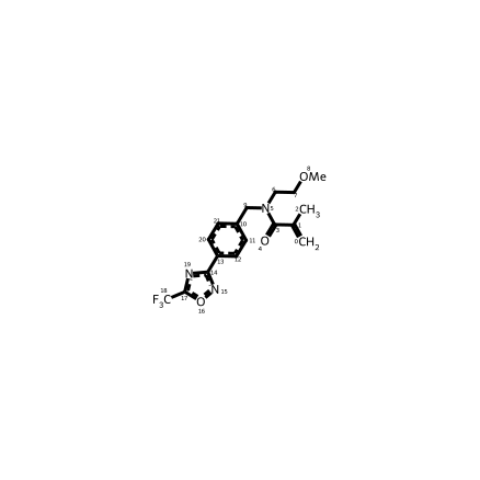 C=C(C)C(=O)N(CCOC)Cc1ccc(-c2noc(C(F)(F)F)n2)cc1